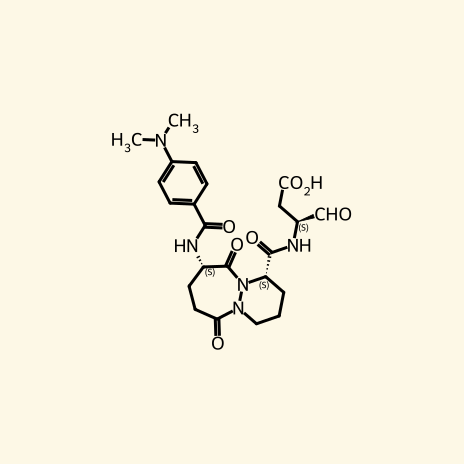 CN(C)c1ccc(C(=O)N[C@H]2CCC(=O)N3CCC[C@@H](C(=O)N[C@H](C=O)CC(=O)O)N3C2=O)cc1